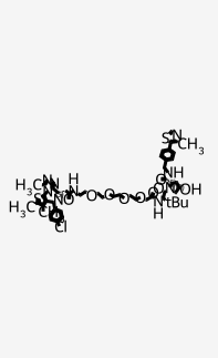 Cc1ncsc1-c1ccc(CNC(=O)[C@@H]2C[C@@H](O)CN2C(=O)C(NC(=O)COCCOCCOCCOCCNC(=O)C[C@@H]2N=C(c3ccc(Cl)cc3)c3c(sc(C)c3C)-n3c(C)nnc32)C(C)(C)C)cc1